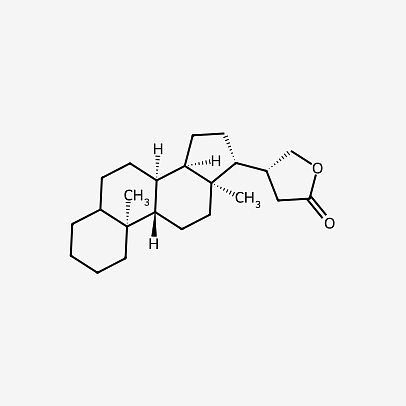 C[C@]12CC[C@H]3[C@@H](CCC4CCCC[C@@]43C)[C@H]1CC[C@@H]2[C@@H]1COC(=O)C1